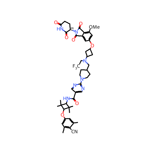 COc1cc(OC2CC(N(CC3CCN(c4ncc(C(=O)NC5C(C)(C)C(Oc6cc(C)c(C#N)c(C)c6)C5(C)C)cn4)CC3)CC(F)(F)F)C2)cc2c1C(=O)N([C@@H]1CCC(=O)NC1=O)C2=O